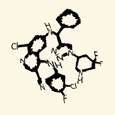 N#Cc1cnc2c(Cl)cc(NC(c3ccccc3)c3cn(C4CNCC(F)(F)C4)nn3)cc2c1Nc1ccc(F)c(Cl)c1